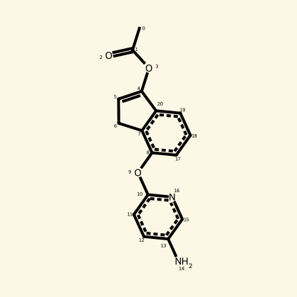 CC(=O)OC1=CCc2c(Oc3ccc(N)cn3)cccc21